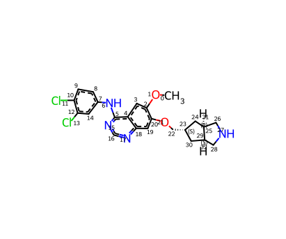 COc1cc2c(Nc3ccc(Cl)c(Cl)c3)ncnc2cc1OC[C@@H]1C[C@H]2CNC[C@H]2C1